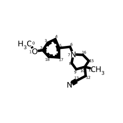 COc1ccc(CN2CCC(C)(CC#N)CC2)cc1